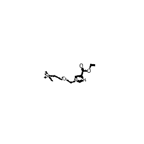 CCOC(=O)c1cn(COCC[Si](C)(C)C)cn1